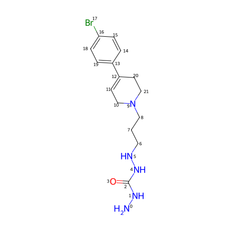 NNC(=O)NNCCCN1CC=C(c2ccc(Br)cc2)CC1